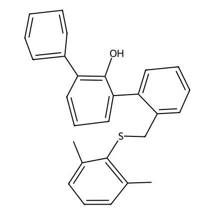 Cc1cccc(C)c1SCc1ccccc1-c1cccc(-c2ccccc2)c1O